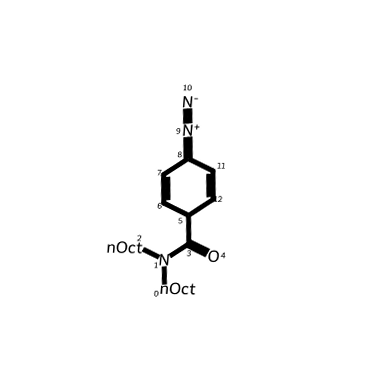 CCCCCCCCN(CCCCCCCC)C(=O)C1C=CC(=[N+]=[N-])C=C1